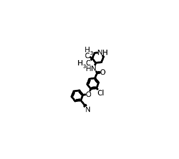 CC1(C)CNCCC1NC(=O)c1ccc(Oc2ccccc2C#N)c(Cl)c1